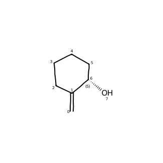 C=C1CCCC[C@@H]1O